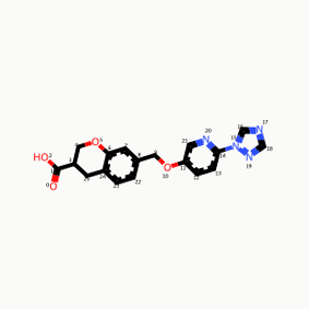 O=C(O)C1COc2cc(COc3ccc(-n4cncn4)nc3)ccc2C1